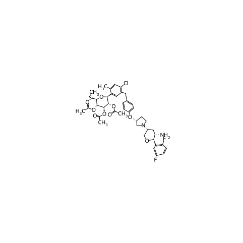 CS[C@H]1O[C@@H](c2cc(Cc3ccc(O[C@@H]4CCN([C@H]5CO[C@H](c6cc(F)ccc6F)[C@@H](N)C5)C4)cc3)c(Cl)cc2C)[C@H](OC(C)=O)[C@@H](OC(C)=O)[C@@H]1OC(C)=O